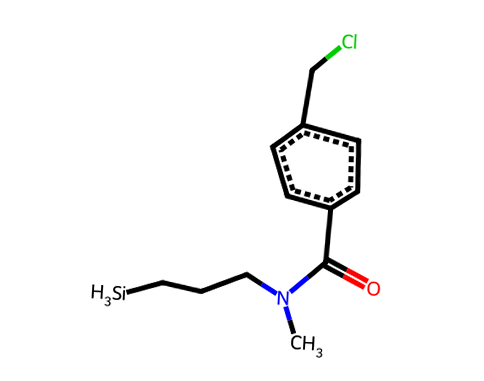 CN(CCC[SiH3])C(=O)c1ccc(CCl)cc1